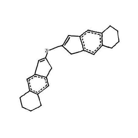 C1=[C]([Zr][C]2=Cc3cc4c(cc3C2)CCCC4)Cc2cc3c(cc21)CCCC3